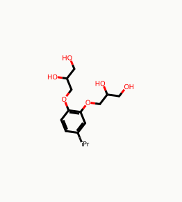 CC(C)c1ccc(OCC(O)CO)c(OCC(O)CO)c1